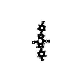 OC(c1cnn(-c2ccc(Br)cc2)c1)c1nn(-c2ccc(Br)cc2)cc1CCl